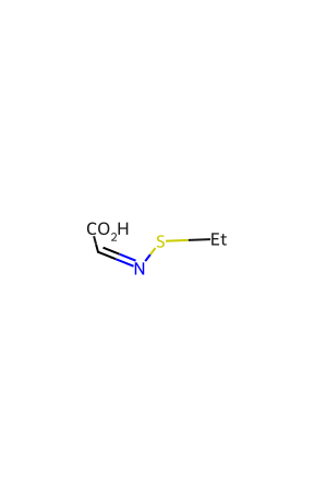 CCS/N=C\C(=O)O